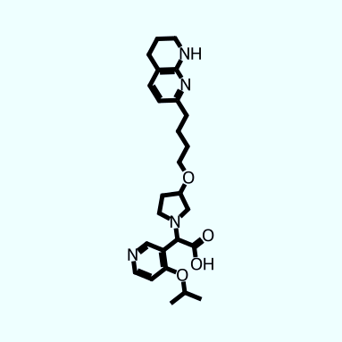 CC(C)Oc1ccncc1C(C(=O)O)N1CCC(OCCCCc2ccc3c(n2)NCCC3)C1